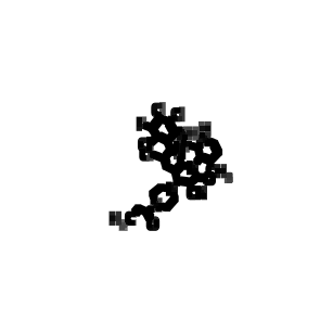 C=CC(=O)N1CCN(c2c(C#N)c(=O)n(C3=C(C)C=CNC3C(C)C)c3nc(-c4c(N)c(Cl)c(Cl)c(F)c4Cl)c(Cl)cc23)CC1